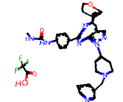 CNC(=O)Nc1ccc(-c2nc(C3=CCOCC3)c3cnn(C4CCN(Cc5cccnc5)CC4)c3n2)cc1.O=C(O)C(F)(F)F